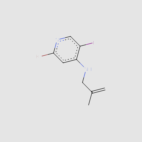 C=C(C)CNc1cc(Br)ncc1I